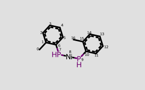 Cc1ccccc1[PH][Ni][PH]c1ccccc1C